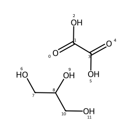 O=C(O)C(=O)O.OCC(O)CO